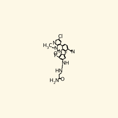 CCN1C(=O)N(c2c(F)cc(NCCNCCC(N)=O)cc2F)c2cc(C#N)ccc2-c2cc(Cl)cnc21